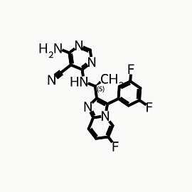 C[C@H](Nc1ncnc(N)c1C#N)c1nc2ccc(F)cn2c1-c1cc(F)cc(F)c1